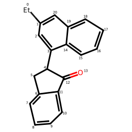 CCc1cc(C2Cc3ccccc3C2=O)c2ccccc2c1